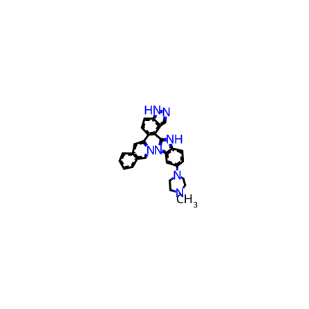 CN1CCN(c2ccc3[nH]c(-c4c(-c5cc6ccccc6cn5)ccc5[nH]ncc45)nc3c2)CC1